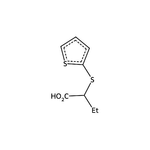 CCC(Sc1cccs1)C(=O)O